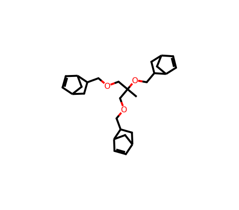 CC(COCC1CC2C=CC1C2)(COCC1CC2C=CC1C2)OCC1CC2C=CC1C2